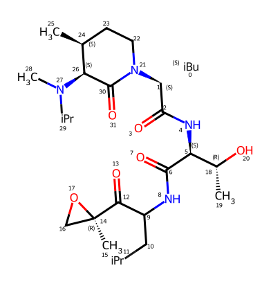 CC[C@H](C)[C@@H](C(=O)N[C@H](C(=O)NC(CC(C)C)C(=O)[C@@]1(C)CO1)[C@@H](C)O)N1CC[C@H](C)[C@H](N(C)C(C)C)C1=O